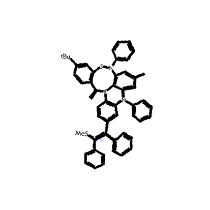 C=C1B2c3ccc(/C(=C(\SC)c4ccccc4)c4ccccc4)cc3N(c3ccccc3)c3cc(C)cc(c32)N(c2ccccc2)Sc2cc(C(C)(C)C)ccc21